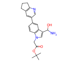 CC(C)(C)OC(=O)Cn1cc(C(N)O)c2cc(-c3cnc4c(c3)CCC4)ccc21